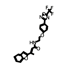 CC(=CC(=O)NCCOc1ccc(-c2noc(C(F)(F)F)n2)cc1)c1cc2ccccc2o1